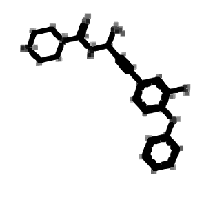 CC(C#Cc1ccc(Oc2ccccc2)c(Cl)c1)NC(=O)N1CCNCC1